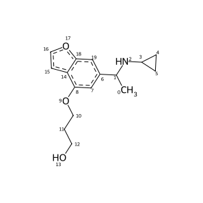 CC(NC1CC1)c1cc(OCCCO)c2ccoc2c1